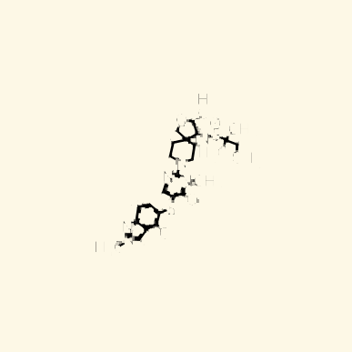 CCC(C)(C)[S@@+]([O-])N[C@@H]1[C@H](C)OCC12CCN(c1ncc(Sc3ccc4nn(C)cc4c3Cl)c(=O)n1C)CC2